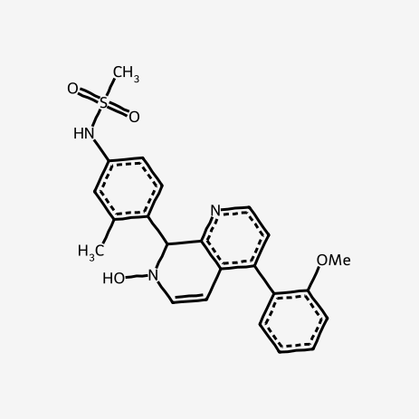 COc1ccccc1-c1ccnc2c1C=CN(O)C2c1ccc(NS(C)(=O)=O)cc1C